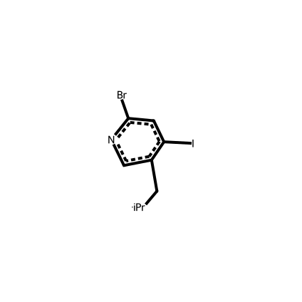 C[C](C)Cc1cnc(Br)cc1I